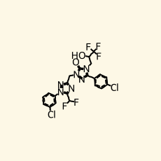 O=c1n(Cc2nc(C(F)F)n(-c3cccc(Cl)c3)n2)nc(-c2ccc(Cl)cc2)n1CC(O)C(F)(F)F